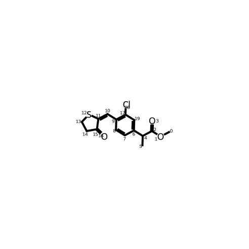 COC(=O)C(C)c1ccc(/C=C2/SCCC2=O)c(Cl)c1